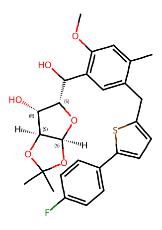 COc1cc(C)c(Cc2ccc(-c3ccc(F)cc3)s2)cc1C(O)[C@@H]1O[C@H]2OC(C)(C)O[C@H]2[C@@H]1O